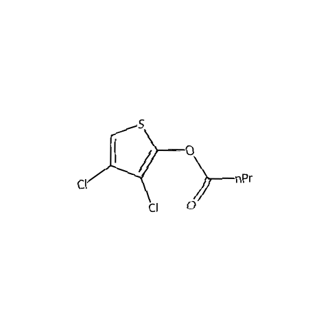 CCCC(=O)Oc1scc(Cl)c1Cl